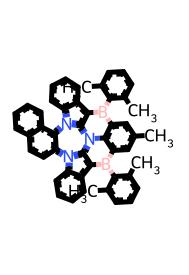 Cc1cc2c3c(c1)B(c1c(C)cccc1C)c1c4ccccc4n4c5c6ccccc6ccc5n5c6ccccc6c(c5n-3c14)B2c1c(C)cccc1C